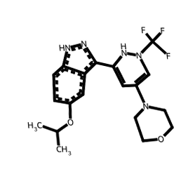 CC(C)Oc1ccc2[nH]nc(C3=CC(N4CCOCC4)=CN(C(F)(F)F)N3)c2c1